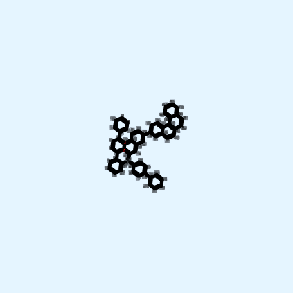 c1ccc(-c2ccc(-c3ccccc3N(c3ccc(-c4ccccc4)cc3)c3ccc4ccc(-c5ccc6c(ccc7ccc8ccccc8c76)c5)cc4c3)cc2)cc1